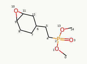 COP(=O)(CCC1CCC2OC2C1)OC